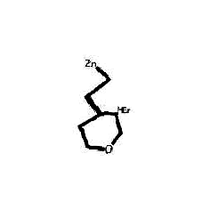 Br.[Zn][CH2]CC1CCOCC1